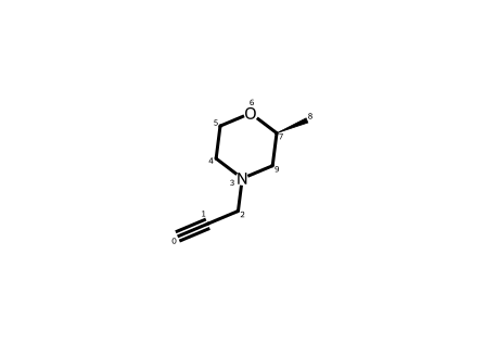 C#CCN1CCO[C@@H](C)C1